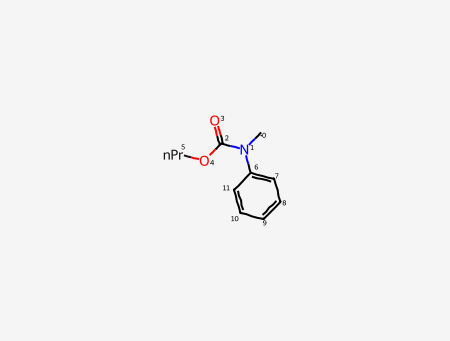 [CH2]N(C(=O)OCCC)c1ccccc1